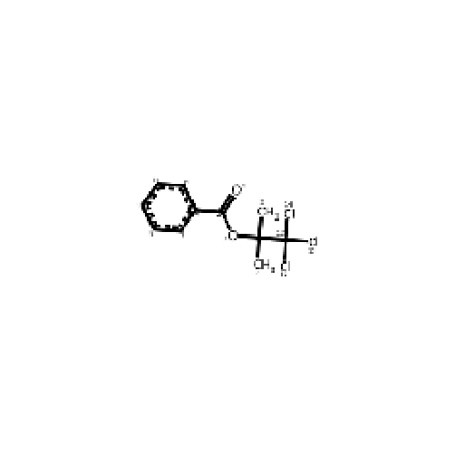 CC(C)(OC(=O)c1cc[c]cc1)C(Cl)(Cl)Cl